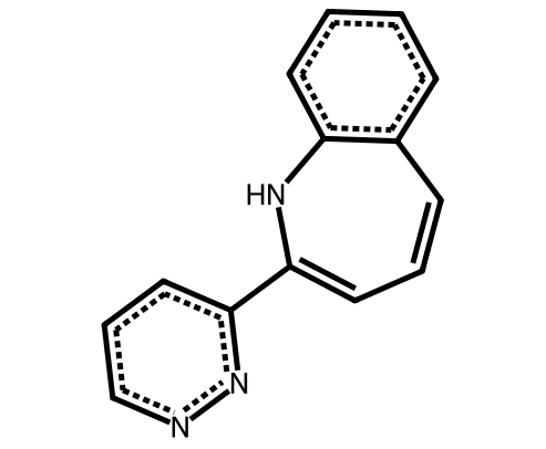 C1=Cc2ccccc2NC(c2cccnn2)=C1